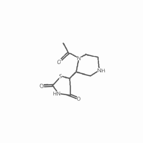 CC(=O)N1CCNCC1C1SC(=O)NC1=O